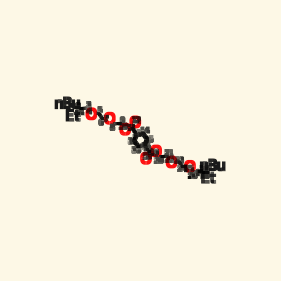 CCCCC(CC)COCCOCCOC(=O)c1ccc(C(=O)OCCOCCOCC(CC)CCCC)cc1